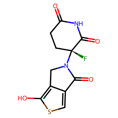 O=C1CC[C@@](F)(N2Cc3c(csc3O)C2=O)C(=O)N1